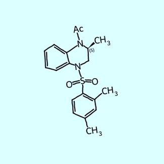 CC(=O)N1c2ccccc2N(S(=O)(=O)c2ccc(C)cc2C)C[C@@H]1C